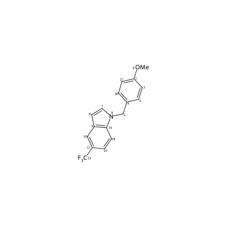 COc1ccc(Cn2ccc3cc(C(F)(F)F)ccc32)cc1